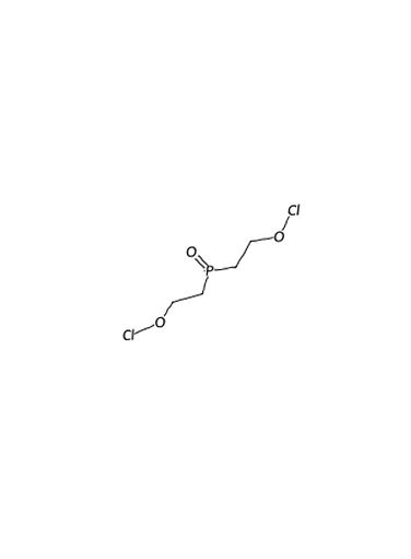 O=[P](CCOCl)CCOCl